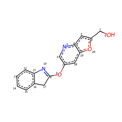 OCc1cc2ncc(OC3=Nc4ccccc4C3)cc2o1